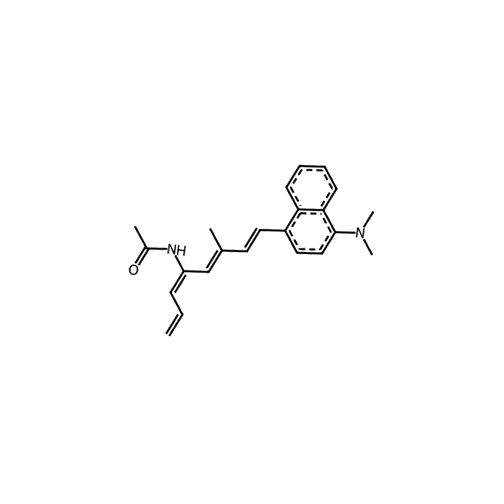 C=C\C=C(/C=C(C)/C=C/c1ccc(N(C)C)c2ccccc12)NC(C)=O